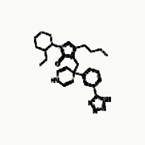 CCCCc1cn(C2CCCCC2CC)c(=O)n1CC1(c2cccc(-c3nnn[nH]3)c2)C=CNC=C1